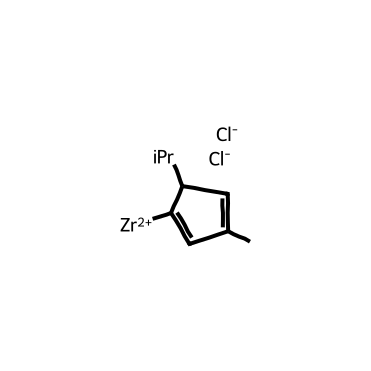 CC1=CC(C(C)C)[C]([Zr+2])=C1.[Cl-].[Cl-]